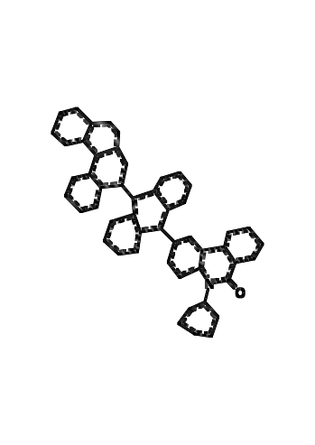 O=c1c2ccccc2c2cc(-c3c4ccccc4c(-c4cc5ccc6ccccc6c5c5ccccc45)c4ccccc34)ccc2n1-c1ccccc1